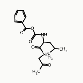 CC(=O)CNC(=O)[C@H](CC(C)C)NC(=O)OC(=O)c1ccccc1